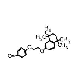 CC1(C)CCC(C)(C)c2cc(OCCOc3ccc(C=O)cc3)ccc21